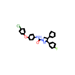 O=C(Nc1ccc(Oc2ccc(Cl)cc2)cc1)N1CC(c2ccccc2)C(c2ccc(F)cc2)=N1